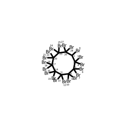 BrC1C(Br)(Br)C(Br)(Br)C(Br)(Br)C(Br)(Br)C(Br)(Br)C(Br)(Br)C(Br)(Br)C(Br)(Br)C1(Br)Br